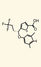 Cc1cc(O[C@H](CCC(F)(F)F)c2ccc(C(=O)O)s2)cc(C)c1I